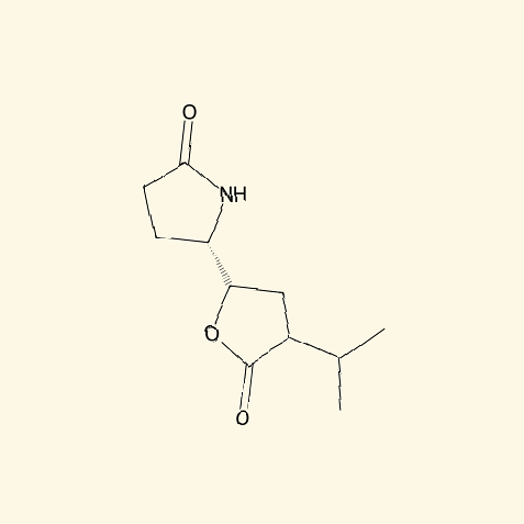 CC(C)C1CC([C@@H]2CCC(=O)N2)OC1=O